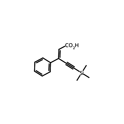 C[Si](C)(C)C#CC(=CC(=O)O)c1ccccc1